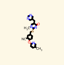 Cc1ccc(Oc2ccc(CSc3nc(=O)c(Cc4cncnc4)cn3C)cc2C#N)nc1